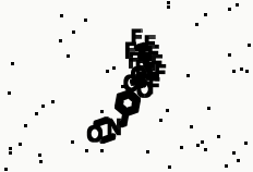 O=S(=O)(Oc1ccc(CN2CCOCC2)cc1)C(F)(F)C(F)(F)C(F)(F)C(F)(F)F